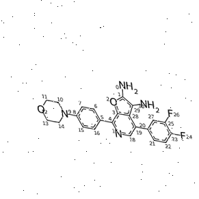 Nc1oc2c(-c3ccc(N4CCOCC4)cc3)ncc(-c3ccc(F)c(F)c3)c2c1N